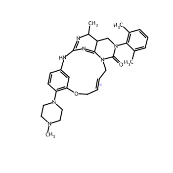 Cc1cccc(C)c1N1CC2C3=NC(=NC2C)Nc2ccc(N4CCN(C)CC4)c(c2)OC/C=C/CN3C1=O